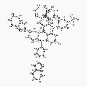 Cc1cc2c3c(c1)N(c1ccc(C(C)(C)C)cc1-c1ccccc1)c1cc4c(cc1B3c1cc(-c3cc5ccccc5o3)ccc1N2c1ccc(-c2cc3ccccc3o2)cc1)OCCCO4